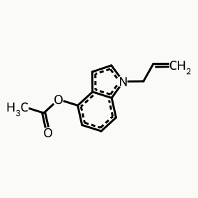 C=CCn1ccc2c(OC(C)=O)cccc21